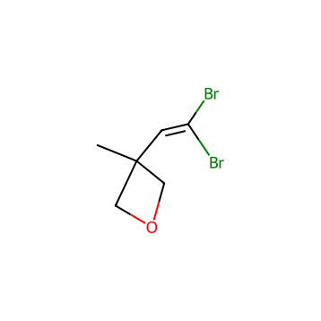 CC1(C=C(Br)Br)COC1